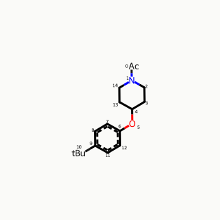 CC(=O)N1CCC(Oc2ccc(C(C)(C)C)cc2)CC1